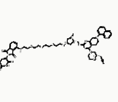 CN1C[C@H](OCCOCCOCCOCCNc2cccc3c2C(=O)N(C2CCC(=O)NC2=O)C3=O)C[C@H]1COc1nc2c(c(N3CCN[C@@H](CC#N)C3)n1)CCN(c1cccc3ccccc13)C2